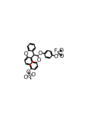 CS(=O)(=O)Oc1ccc(OC(Oc2ccc(OS(=O)(=O)F)cc2)C2c3ccccc3Oc3ccccc32)cc1